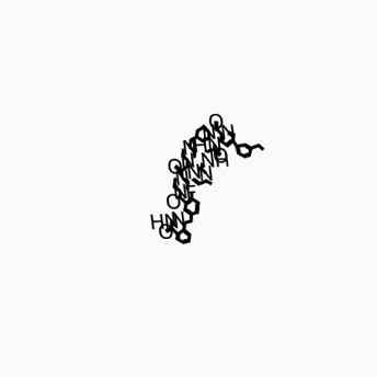 CCc1cccc(-c2cnc(C(=O)N3CCC(CN4CCN(CC(=O)N5CCN(C(=O)c6cc(Cc7n[nH]c(=O)c8ccccc78)ccc6F)CC5)CC4)CC3)c(NC(=O)CNCc3nccc(C)n3)c2)c1